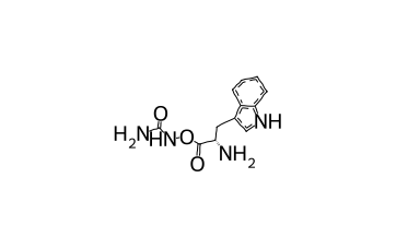 NC(=O)NOC(=O)[C@@H](N)Cc1c[nH]c2ccccc12